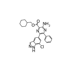 Nc1nc(-c2ccccc2)c(-c2cc(Cl)c3[nH]ncc3c2)nc1C(=O)OCC1CCCCC1